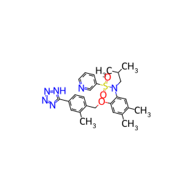 Cc1cc(OCc2ccc(-c3nnn[nH]3)cc2C)c(N(CC(C)C)S(=O)(=O)c2cccnc2)cc1C